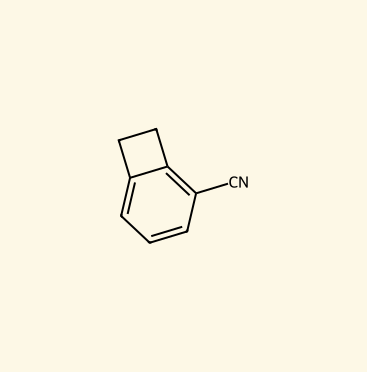 N#Cc1cccc2c1CC2